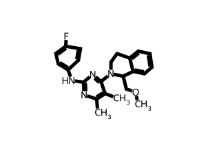 COCC1c2ccccc2CCN1c1nc(Nc2ccc(F)cc2)nc(C)c1C